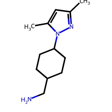 Cc1cc(C)n(C2CCC(CN)CC2)n1